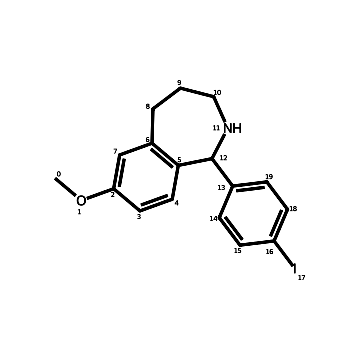 COc1ccc2c(c1)CCCNC2c1ccc(I)cc1